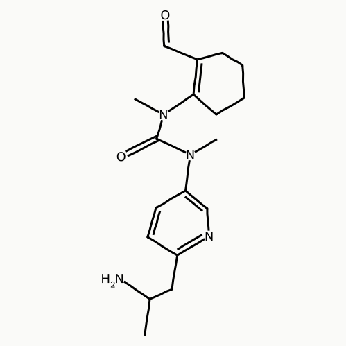 CC(N)Cc1ccc(N(C)C(=O)N(C)C2=C(C=O)CCCC2)cn1